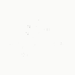 CC(=O)SCCC1(C)C(=O)N2CCCC(C(=O)OC(C)(C)C)N2C1=O